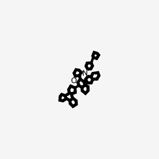 c1ccc(-c2ccc(N(c3cccc4ccccc34)c3cccc4oc5c(-c6ccc7c8ccccc8c8ccccc8c7c6)c6ccccc6cc5c34)cc2)cc1